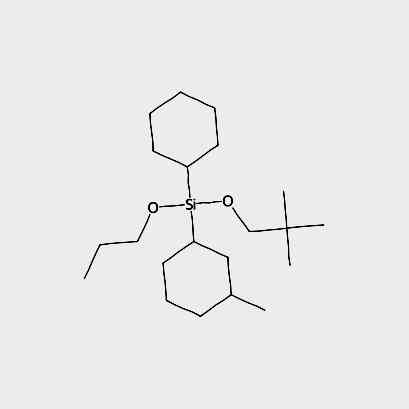 CCCO[Si](OCC(C)(C)C)(C1CCCCC1)C1CCCC(C)C1